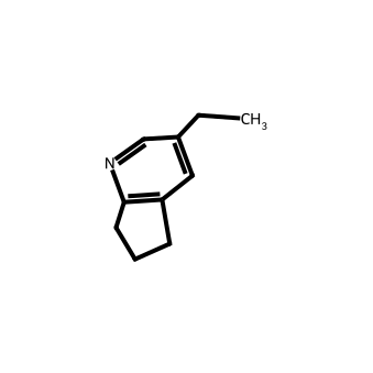 CCc1cnc2c(c1)CCC2